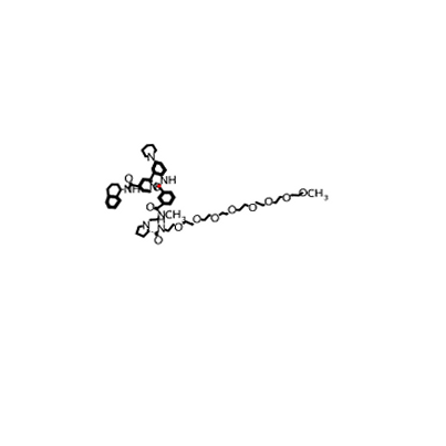 COCCOCCOCCOCCOCCOCCOCCOCCNC(=O)[C@@H]1CCCN1CCN(C)C(=O)c1cccc(C(=O)Nc2ccc(N3CCCCC3)cc2-c2cc(C(=O)N[C@H]3CCCc4ccccc43)ccn2)c1